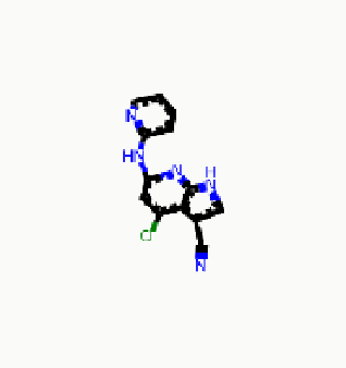 N#Cc1c[nH]c2nc(Nc3ccccn3)cc(Cl)c12